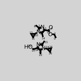 CCOC(=O)c1nc(C)n(C2CC2)c1C.Cc1nc(CO)c(C)n1C1CC1